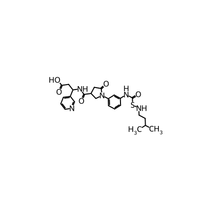 CC(C)CCNSC(=O)Nc1cccc(N2CC(C(=O)NC(CC(=O)O)c3cccnc3)CC2=O)c1